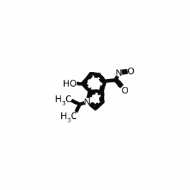 CC(C)n1ccc2c(C(=O)N=O)ccc(O)c21